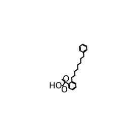 O=C(O)C1(c2ccccc2CCCCCCCCc2ccccc2)CO1